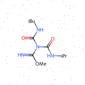 CCC(C)NC(=O)N(C(=N)OC)C(=O)NC(C)C